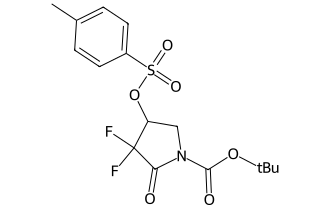 Cc1ccc(S(=O)(=O)OC2CN(C(=O)OC(C)(C)C)C(=O)C2(F)F)cc1